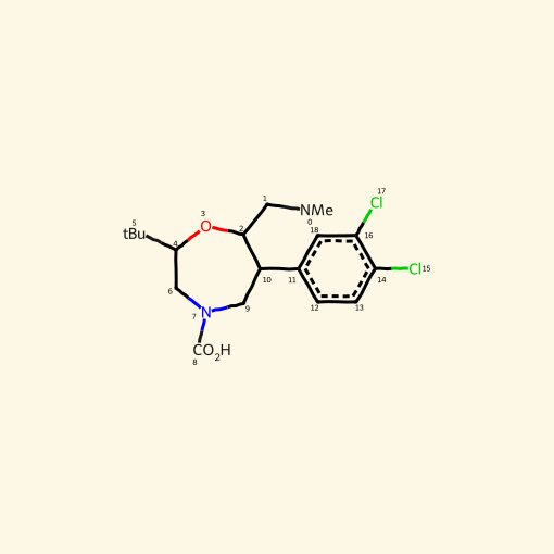 CNCC1OC(C(C)(C)C)CN(C(=O)O)CC1c1ccc(Cl)c(Cl)c1